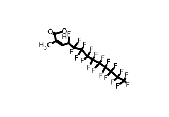 CC(=CC(F)C(F)(F)C(F)(F)C(F)(F)C(F)(F)C(F)(F)C(F)(F)C(F)(F)C(F)(F)C(F)(F)F)C(=O)O